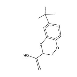 CC(C)(C)c1ccc2c(c1)OC(C(=O)O)CO2